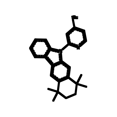 CC(C)(C)c1ccnc(-n2c3ccccc3c3cc4c(cc32)C(C)(C)CCC4(C)C)c1